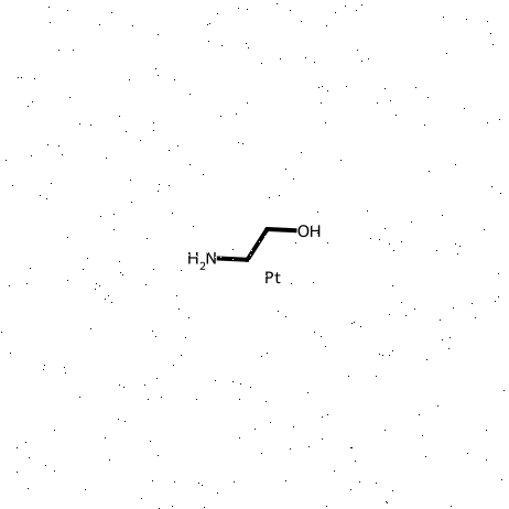 NCCO.[Pt]